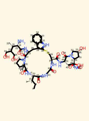 CC[C@H](C)[C@@H]1NC(=O)[C@@H]2CCCN2C(=O)[C@@H](NC(=O)[C@@H](N)[C@@H](C)C(CO)CO)Cc2c([nH]c3ccccc23)SC[C@@H](C(=O)N[C@@H](CCN=O)C(=O)N2C[C@H](O)C[C@H]2C(=O)O)NC(=O)CNC1=O